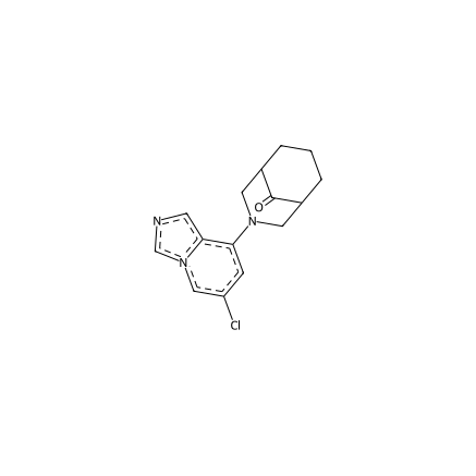 O=C1C2CCCC1CN(c1cc(Cl)cn3cncc13)C2